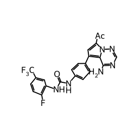 CC(=O)c1cc(-c2ccc(NC(=O)Nc3cc(C(F)(F)F)ccc3F)cc2)c2c(N)ncnn12